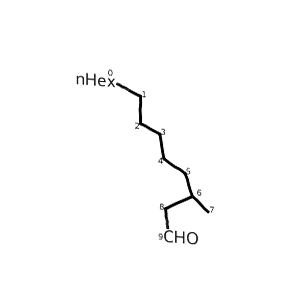 CCCCCCCCCCCC(C)CC=O